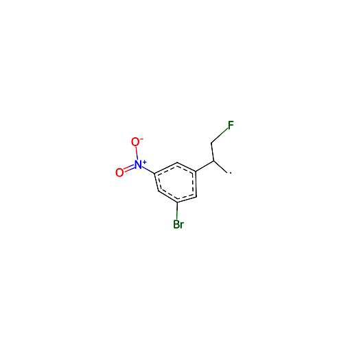 [CH2]C(CF)c1cc(Br)cc([N+](=O)[O-])c1